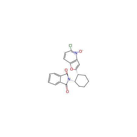 O=C1c2ccccc2C(=O)N1[C@H]1CCCC[C@H]1c1cc2c(ccc(Cl)[n+]2[O-])o1